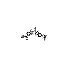 CCNC(=O)c1ccc2c(c1)nc(Nc1nc3ccc(OC(F)(F)F)cc3s1)n2C